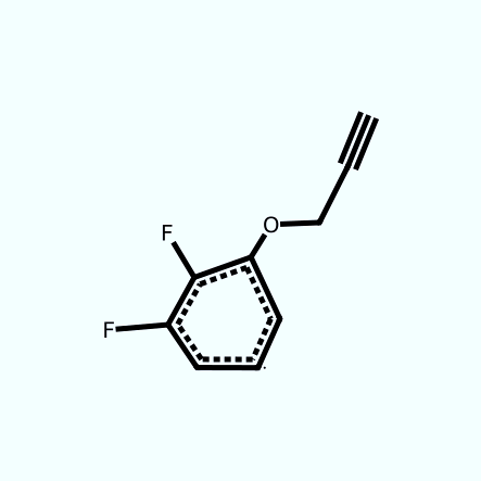 C#CCOc1c[c]cc(F)c1F